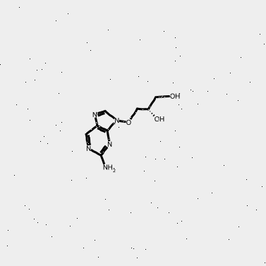 Nc1ncc2ncn(OC[C@@H](O)CO)c2n1